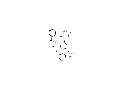 COC(=O)NC(=N)c1cccc(CN(CC(C)C)C(=O)Oc2ccc(-c3ccccc3S(N)(=O)=O)cc2)c1